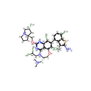 CN(C)C[C@H]1COc2c(Cl)c(-c3ccc(F)c4sc(N)c(C#N)c34)c(F)c3nc(OC[C@@]45CCCN4C[C@H](F)C5)nc(c23)N1CC(F)F